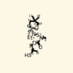 CCN(SN(C)C(=O)O/N=C(\C)S)P1(=S)OCC(C)(C)CO1